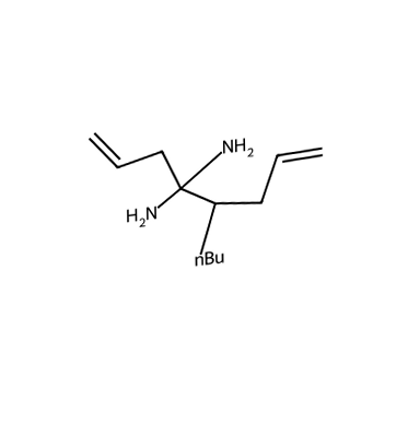 C=CCC(CCCC)C(N)(N)CC=C